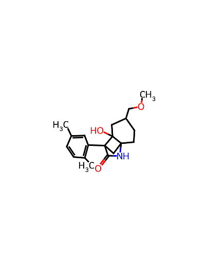 COCC1CCC23CC(c4cc(C)ccc4C)(C(=O)N2)C3(O)C1